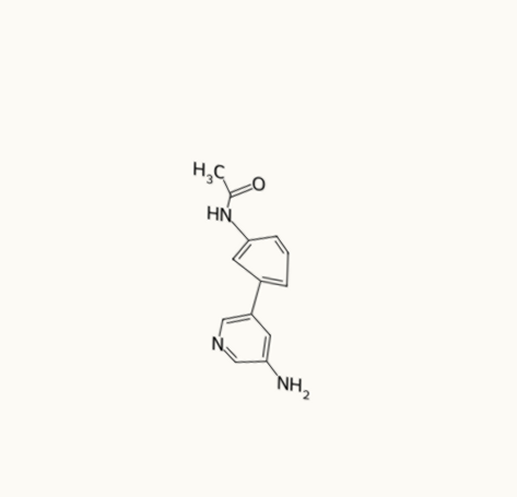 CC(=O)Nc1cccc(-c2cncc(N)c2)c1